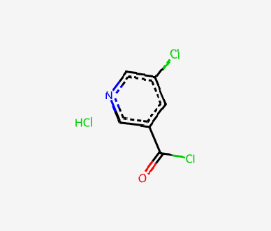 Cl.O=C(Cl)c1cncc(Cl)c1